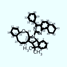 CC1(C)c2ccccc2C2C1C1=C(COC3C=CC=CC3C/C=C\1)N2c1nc(-c2ccccc2)c2ccc3c(c2n1)CCC=C3